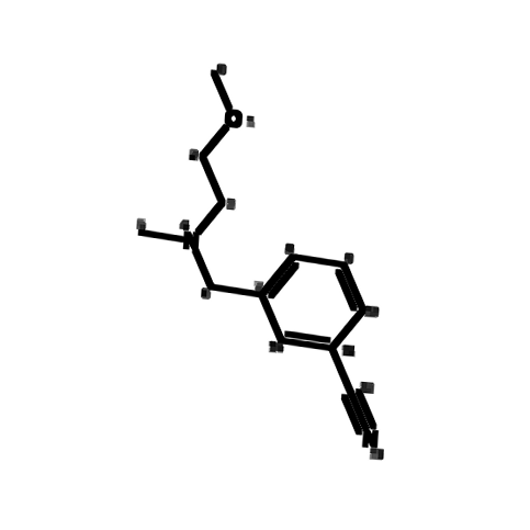 COCCN(C)Cc1cccc(C#N)c1